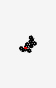 CC1(C)c2ccccc2-c2ccc(-c3ccccc3N(c3ccc(-c4ccccc4-c4cccc5c4C(C)(C)c4ccccc4-5)cc3)c3cccc4ccccc34)cc21